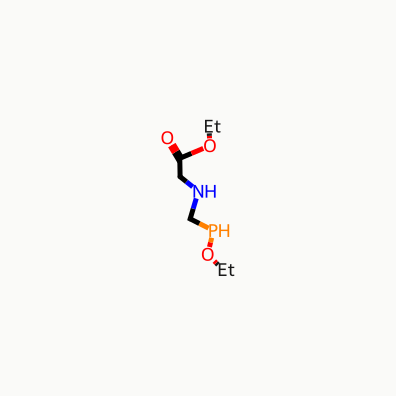 CCOPCNCC(=O)OCC